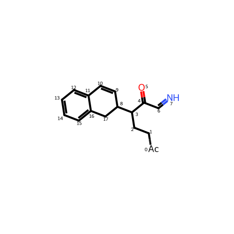 CC(=O)CCC(C(=O)C=N)C1C=Cc2ccccc2C1